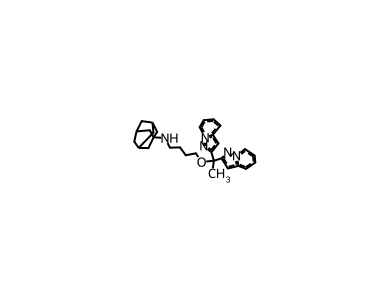 CC(OCCCCNC12CC3CC(CC(C3)C1)C2)(c1cc2ccccn2n1)c1cc2ccccn2n1